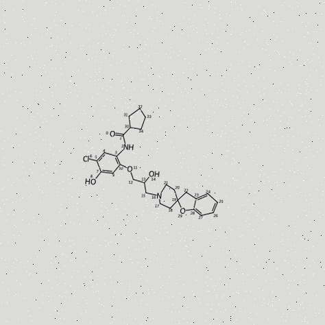 O=C(Nc1cc(Cl)c(O)cc1OCC(O)CN1CCC2(CC1)Cc1ccccc1O2)C1CCCC1